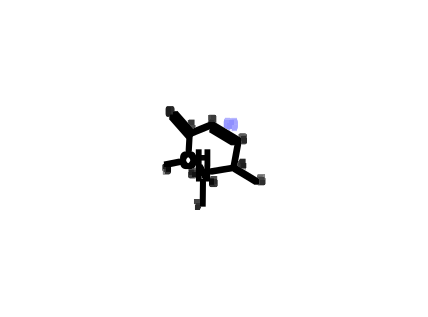 C=C(/C=C\C(C)NC)OC